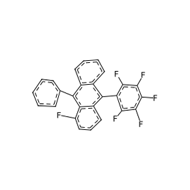 Fc1c(F)c(F)c(-c2c3ccccc3c(-c3ccccc3)c3c(F)cccc23)c(F)c1F